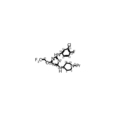 CC(C)N1CCC(Nc2nc(Nc3ccc(F)c(Cl)c3)nc(OCC(F)(F)F)n2)CC1